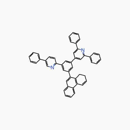 C1=Cc2c(c(-c3cc(-c4cc(-c5ccccc5)nc(-c5ccccc5)c4)cc(-c4ccc(-c5ccccc5)cn4)c3)cc3ccccc23)CC1